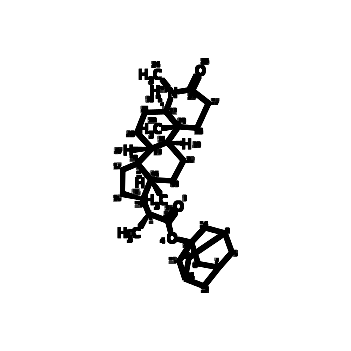 C[C@H](C(=O)OC12CC3CC(CC(C3)C1)C2)[C@H]1CC[C@H]2[C@@H]3CC[C@H]4N(C)C(=O)CC[C@]4(C)[C@H]3CC[C@]12C